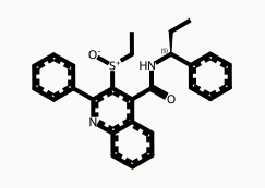 CC[C@H](NC(=O)c1c([S+]([O-])CC)c(-c2ccccc2)nc2ccccc12)c1ccccc1